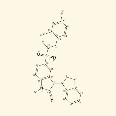 CN1C(=O)/C(=C2/CCc3ccccc32)c2cc(S(=O)(=O)N(C)Cc3ccc(F)cc3F)ccc21